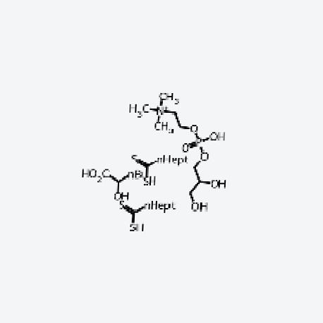 CCCCC(O)C(=O)O.CCCCCCCC(=S)S.CCCCCCCC(=S)S.C[N+](C)(C)CCOP(=O)(O)OCC(O)CO